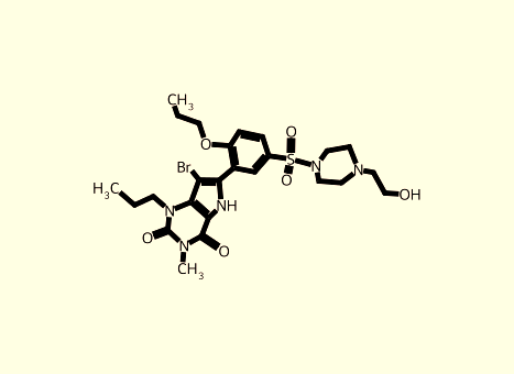 CCCOc1ccc(S(=O)(=O)N2CCN(CCO)CC2)cc1-c1[nH]c2c(=O)n(C)c(=O)n(CCC)c2c1Br